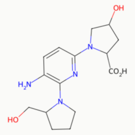 Nc1ccc(N2CC(O)CC2C(=O)O)nc1N1CCCC1CO